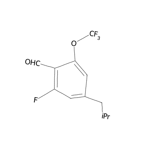 CC(C)Cc1cc(F)c(C=O)c(OC(F)(F)F)c1